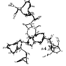 COc1cc(C(=O)N2C[C@H]3CC[C@@H]2[C@@H]3N)cc2nc(-c3cc4ccccc4n3CC3CC3)n(CC3CN(C(=O)c4cccc(C(=O)O)c4)C3)c12